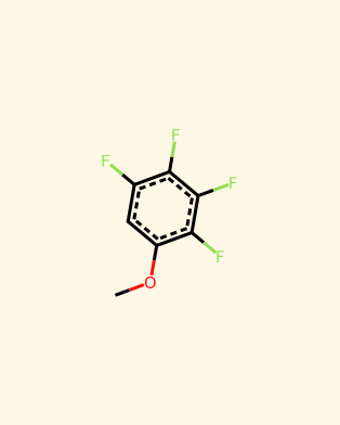 COc1cc(F)c(F)c(F)c1F